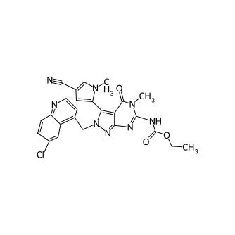 CCOC(=O)Nc1nc2nn(Cc3ccnc4ccc(Cl)cc34)c(-c3cc(C#N)cn3C)c2c(=O)n1C